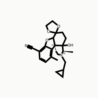 Cc1ccc(C#N)c2c1[C@]13CCN(CC4CC4)[C@H](C)C1(O)CCC1(OCCO1)C3O2